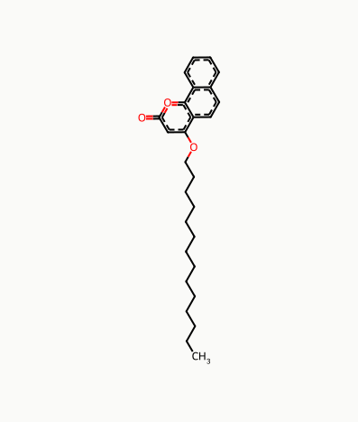 CCCCCCCCCCCCCCOc1cc(=O)oc2c1ccc1ccccc12